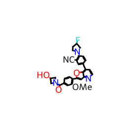 COc1cc(C(=O)N2CC(O)C2)ccc1-c1cc2nccc(-c3ccc(N4CC[C@@H](F)C4)c(C#N)c3)c2o1